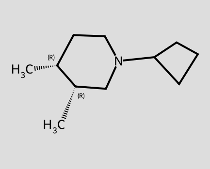 C[C@@H]1CCN(C2CCC2)C[C@@H]1C